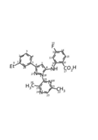 CCc1cccc(-c2cc(Nc3cc(F)ccc3C(=O)O)n(-c3nc(C)cnc3C)n2)c1